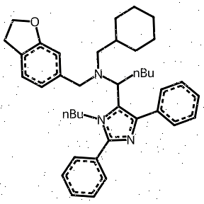 CCCCC(c1c(-c2ccccc2)nc(-c2ccccc2)n1CCCC)N(Cc1ccc2c(c1)OCC2)CC1CCCCC1